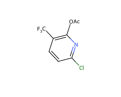 CC(=O)Oc1nc(Cl)ccc1C(F)(F)F